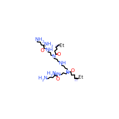 CC/C=C\CCC(=O)N(CCCCNCCCN(CCCNC(=O)[C@@H](N)CCCN)C(=O)CC/C=C\CC)CCCNC(=O)[C@@H](N)CCCN